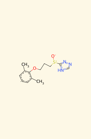 Cc1c[c]cc(C)c1OCCC[S+]([O-])c1nnc[nH]1